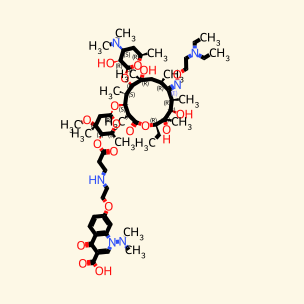 CC[C@H]1OC(=O)[C@H](C)[C@@H](O[C@H]2C[C@@](C)(OC)[C@@H](OC(=O)CCNCCOc3ccc4c(=O)c(C(=O)O)cn(N(C)C)c4c3)[C@H](C)O2)[C@H](C)[C@@H](O[C@@H]2O[C@H](C)C[C@H](N(C)C)[C@H]2O)[C@](C)(O)C[C@@H](C)/C(=N\OCCN(CC)CC)[C@@H](C)[C@@H](O)[C@]1(C)O